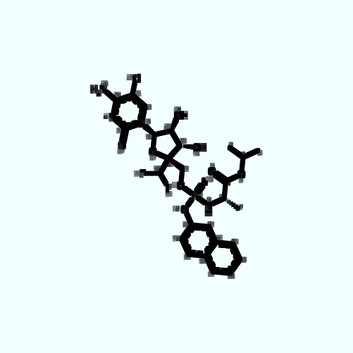 CC(C)OC(=O)[C@H](C)NP(=S)(OC[C@@]1(C(F)F)O[C@@H](n2cc(Cl)c(N)nc2=O)[C@@H](O)[C@@H]1O)Oc1ccc2ccccc2c1